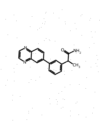 CC(C(N)=O)c1cccc(-c2ccc3nccnc3c2)c1